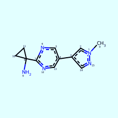 Cn1cc(-c2cnc(C3(N)CC3)nc2)cn1